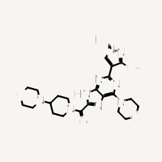 Cn1cc(-c2nc(N3CCOCC3)c3nc(C(=O)N4CCC(N5CCOCC5)CC4)[nH]c3n2)c(C(F)(F)F)n1